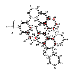 CC(C)(C)c1cc(-c2cccc3cccc(-c4ccccc4N(c4ccc5c(c4)oc4ccccc45)c4ccccc4-c4ccccc4-c4ccccc4-c4ccccc4)c23)cc(C(C)(C)C)c1